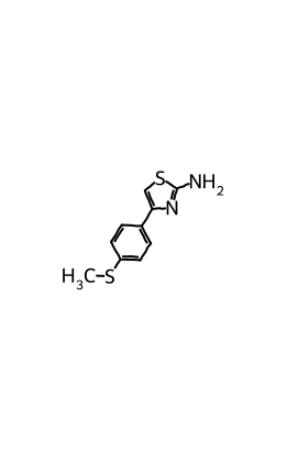 CSc1ccc(-c2csc(N)n2)cc1